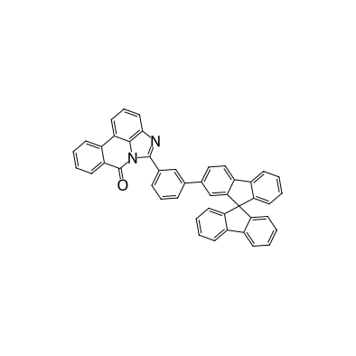 O=c1c2ccccc2c2cccc3nc(-c4cccc(-c5ccc6c(c5)C5(c7ccccc7-c7ccccc75)c5ccccc5-6)c4)n1c32